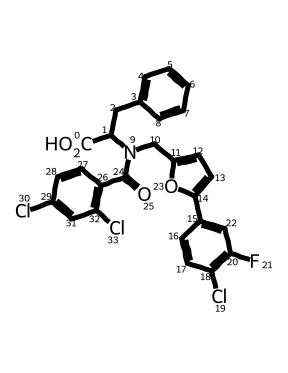 O=C(O)C(Cc1ccccc1)N(Cc1ccc(-c2ccc(Cl)c(F)c2)o1)C(=O)c1ccc(Cl)cc1Cl